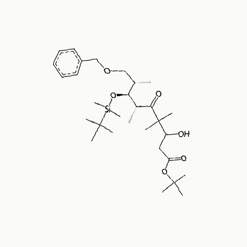 C[C@@H](COCc1ccccc1)[C@H](O[Si](C)(C)C(C)(C)C)[C@@H](C)C(=O)C(C)(C)C(O)CC(=O)OC(C)(C)C